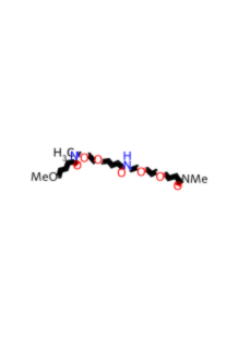 CNC(=O)CCCOCCCOCCNC(=O)CCCCOCCOCN(C)C(=O)CCCCOC